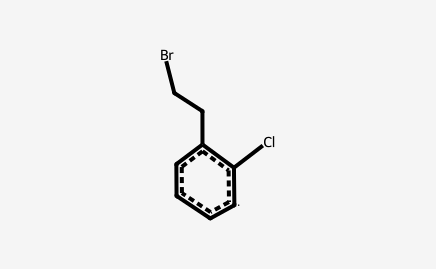 Clc1[c]cccc1CCBr